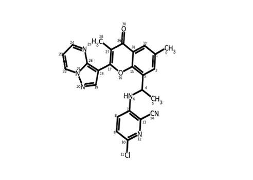 Cc1cc(C(C)Nc2ccc(Cl)nc2C#N)c2oc(-c3cnn4cccnc34)c(C)c(=O)c2c1